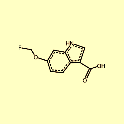 O=C(O)c1c[nH]c2cc(OCF)ccc12